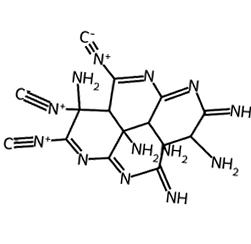 [C-]#[N+]C1=NC2=NC(=N)C(N)C3(N)C(=N)N=C4N=C([N+]#[C-])C(N)([N+]#[C-])C1C4(N)C23